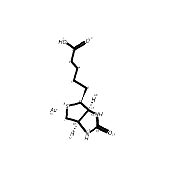 O=C(O)CCCC[C@@H]1SC[C@@H]2NC(=O)N[C@@H]21.[Au]